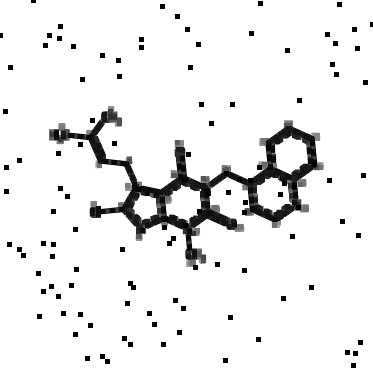 CC(C)=CCn1c(Cl)nc2c1c(=O)n(Cc1ccnc3ccccc13)c(=O)n2C